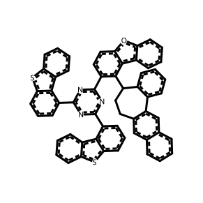 c1ccc2c(c1)-c1cc3ccccc3cc1CCC2c1c(-c2nc(-c3cccc4sc5ccccc5c34)nc(-c3cccc4sc5ccccc5c34)n2)ccc2oc3ccccc3c12